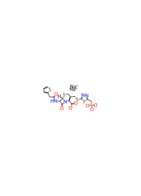 O=C(Cc1cccs1)NC1C(=O)N2C(C(=O)[O-])=C(CSc3nnc(CS(=O)(=O)[O-])s3)CS[C@@H]12.[Na+].[Na+]